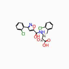 O=C(N[C@H](Cc1ccccc1Cl)[C@@H](O)C(=O)O)c1cc(-c2ccccc2Cl)no1